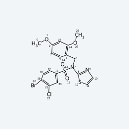 COc1ccc(CN(c2nccs2)S(=O)(=O)c2ccc(Br)c(Cl)c2)c(OC)c1